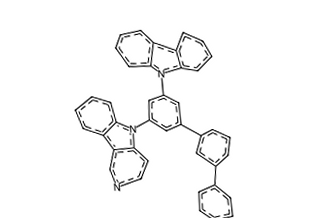 c1ccc(-c2cccc(-c3cc(-n4c5ccccc5c5ccccc54)cc(-n4c5ccccc5c5cnccc54)c3)c2)cc1